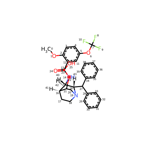 COc1ccc(OC(F)(F)F)cc1CN[C@H]1[C@@H]2CCN(C[C@@H]2OC(=O)O)[C@H]1C(c1ccccc1)c1ccccc1